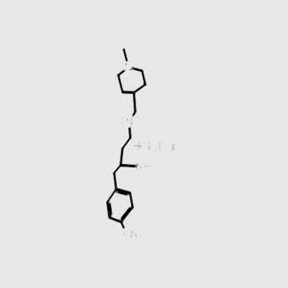 CN1CCC(CNCCC(N)Cc2ccc(C#N)cc2)CC1.Cl.Cl.Cl